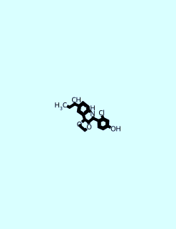 CCC(C)c1ccc2c(c1)C1OCCOC1C(c1ccc(O)cc1Cl)N2